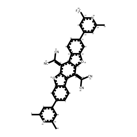 Cc1cc(-c2ccc3c(c2)oc2c(=C(C#N)C#N)c4c(oc5cc(-c6cc(C)nc(C(F)(F)F)c6)ccc54)c(=C(C#N)C#N)c23)cc(C)n1